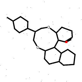 CC1CCC(C2COC3CCC4CCCCC4C3C3C(CCC4CCCCC43)OC2)CC1